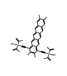 C=C(C)[Si](C#Cc1c(C)c(C)c(C#C[Si](C(=C)C)(C(=C)C)C(C)C)c2cc3cc4cc5cc(C)c(C)cc5cc4cc3cc12)(C(=C)C)C(C)C